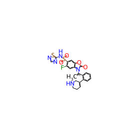 C[C@H](c1ccccc1C1=CCCNC1)n1c(=O)oc2cc(S(=O)(=O)Nc3ncns3)c(F)cc21